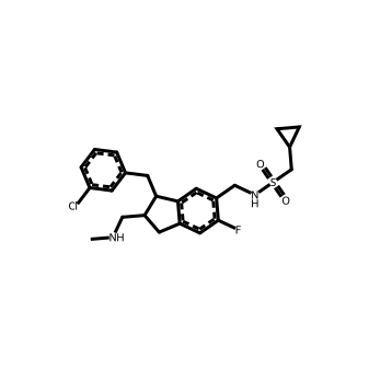 CNCC1Cc2cc(F)c(CNS(=O)(=O)CC3CC3)cc2C1Cc1cccc(Cl)c1